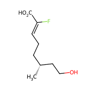 C[C@@H](CCO)CC/C=C(\F)C(=O)O